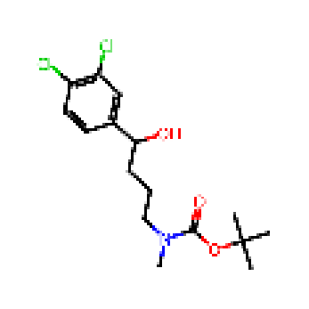 CN(CCCC(O)c1ccc(Cl)c(Cl)c1)C(=O)OC(C)(C)C